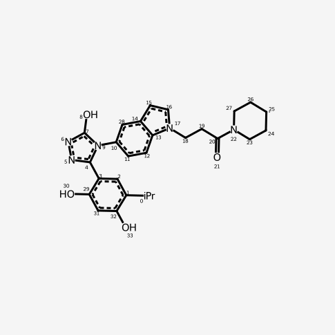 CC(C)c1cc(-c2nnc(O)n2-c2ccc3c(ccn3CCC(=O)N3CC[CH]CC3)c2)c(O)cc1O